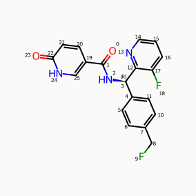 O=C(N[C@H](c1ccc(CF)cc1)c1ncccc1F)c1ccc(=O)[nH]c1